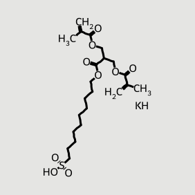 C=C(C)C(=O)OCC(COC(=O)C(=C)C)C(=O)OCCCCCCCCCCS(=O)(=O)O.[KH]